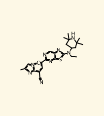 CCN(c1nc2cnc(-c3cc(C#N)c4nc(C)cn4c3)nc2s1)C1CC(C)(C)NC(C)(C)C1